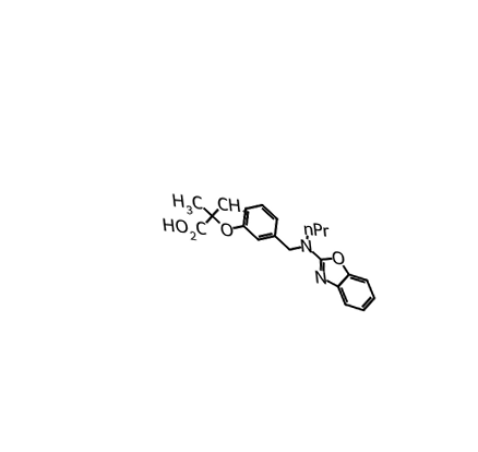 CCCN(Cc1cccc(OC(C)(C)C(=O)O)c1)c1nc2ccccc2o1